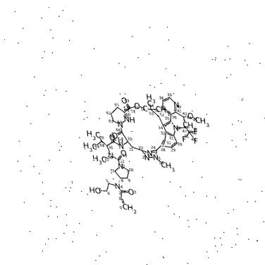 C=CC(=O)N(CCO)[C@H]1CCN(C(=O)N(C)[C@H](C(=O)NC2Cc3nc(n(C)n3)-c3ccc4c(c3)c(c(-c3cccnc3[C@H](C)OC)n4CC(F)(F)F)CC(C)(C)COC(=O)[C@@H]3CCCN(N3)C2=O)C(C)C)C1